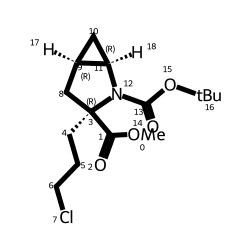 COC(=O)[C@@]1(CCCCl)C[C@H]2C[C@H]2N1C(=O)OC(C)(C)C